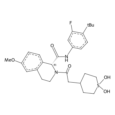 COc1ccc2c(c1)CCN(C(=O)CC1CCS(O)(O)CC1)[C@H]2C(=O)Nc1ccc(C(C)(C)C)c(F)c1